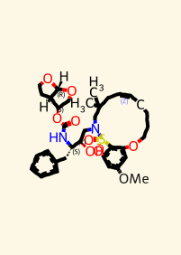 COc1ccc2c(c1)OCCCC/C=C\CC(C)(C)CN(C[C@@H](O)[C@H](Cc1ccccc1)NC(=O)O[C@@H]1CO[C@H]3OCC[C@H]31)S2(=O)=O